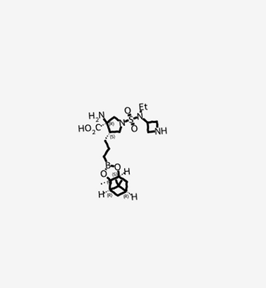 CCN(C1CNC1)S(=O)(=O)N1C[C@H](CCCB2O[C@H]3C[C@H]4C[C@H](C4(C)C)[C@@]3(C)O2)[C@](N)(C(=O)O)C1